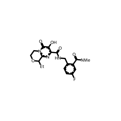 CCC1OCCn2c1nc(C(=O)NCc1ccc(F)cc1C(=O)NC)c(O)c2=O